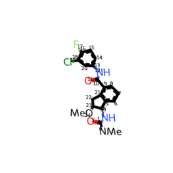 CNC(=O)N[C@@H]1c2cccc(C(=O)Nc3ccc(F)c(Cl)c3)c2CC1OC